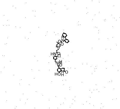 CC1(OC(=O)Nc2ccccc2-c2ccccc2)CCN(CCC(=O)Nc2ccc(CNC[C@H](O)c3ccc(O)c4[nH]c(=O)ccc34)cc2Cl)CC1